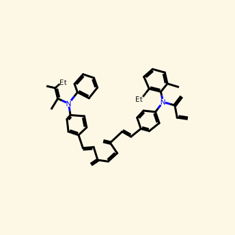 C=CC(=C)N(c1ccc(/C=C/C(=C)/C=C\C(=C)/C=C/c2ccc(N(/C(C)=C(/C)CC)c3ccccc3)cc2)cc1)c1c(C)cccc1CC